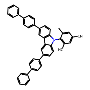 Cc1cc(C#N)cc(C#N)c1-n1c2ccc(-c3ccc(-c4ccccc4)cc3)cc2c2cc(-c3ccc(-c4ccccc4)cc3)ccc21